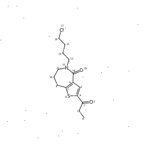 CCC(=O)c1cc2c(s1)CCCN(CCCCCl)C2=O